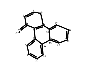 S=C1C=CCc2c1c1ccccc1c1ccccc21